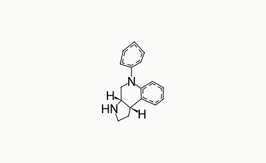 c1ccc(N2C[C@H]3NCC[C@H]3c3ccccc32)cc1